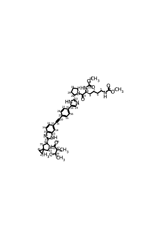 COC(=O)NCCCC[C@H](NC(=O)OC)C(=O)N1CCC[C@H]1c1ncc(-c2ccc(C#Cc3ccc4nc([C@@H]5CC6(CC6)CN5C(=O)[C@@H](C)C(C)C)[nH]c4c3)cc2)[nH]1